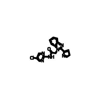 O=C(Cn1c(C2=CCC=N2)nc2ccccc21)Nc1ncc(Cl)cn1